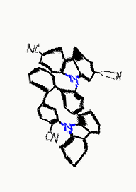 N#Cc1ccc2c(c1)c1ccc(C#N)cc1n2-c1ccccc1-c1ccccc1-c1ccc(C#N)c(-n2c3ccccc3c3ccccc32)c1